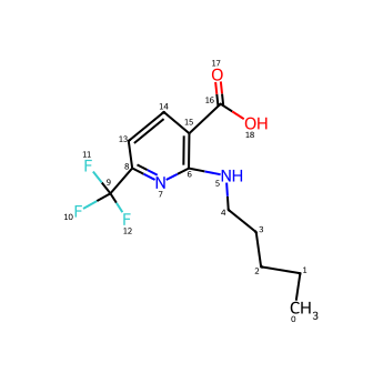 CCCCCNc1nc(C(F)(F)F)ccc1C(=O)O